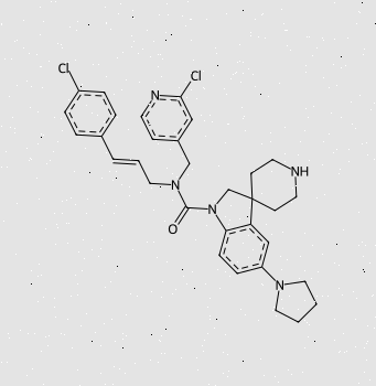 O=C(N(CC=Cc1ccc(Cl)cc1)Cc1ccnc(Cl)c1)N1CC2(CCNCC2)c2cc(N3CCCC3)ccc21